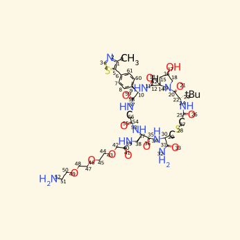 Cc1ncsc1-c1ccc([C@H]2NC(=O)[C@@H]3C[C@@H](O)CN3C(=O)[C@H](C(C)(C)C)NC(=O)CSCC(C(N)=O)NC(=O)[C@@H](CNC(=O)COCCOCCOCCN)NC(=O)CNC2=O)cc1